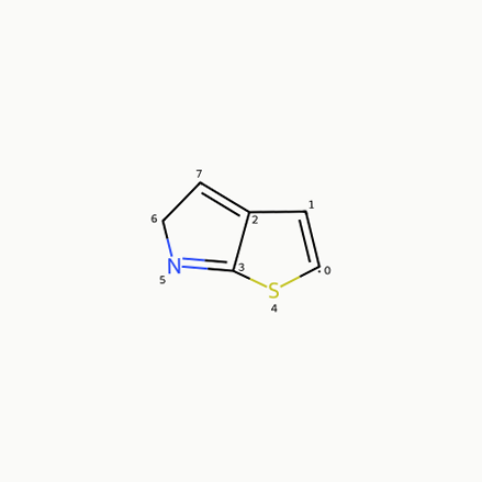 [c]1cc2c(s1)=NCC=2